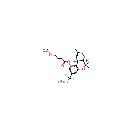 CCCCCC(F)(F)c1cc(OC(=O)CCCO[N+](=O)[O-])c2c(c1)OC(C)(C)[C@@H]1CCC(C)=C[C@@H]21